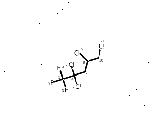 FC(F)(F)C(Cl)(Cl)CC(Cl)CCl